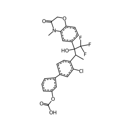 CC(c1ccc(-c2cccc(OC(=O)O)c2)cc1Cl)C(O)(c1ccc2c(c1)N(C)C(=O)CO2)C(F)(F)F